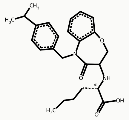 CCCC[C@H](NC1COc2ccccc2N(Cc2ccc(C(C)C)cc2)C1=O)C(=O)O